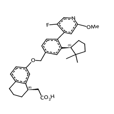 COc1cc(-c2ccc(COc3ccc4c(c3)[C@@H](CC(=O)O)CCC4)cc2[C@H]2CCCC2(C)C)c(F)cn1